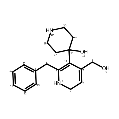 OCC1=CCNC(Cc2ccccc2)=C1C1(O)CCNCC1